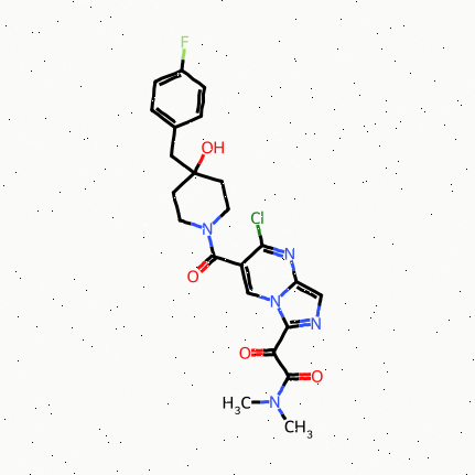 CN(C)C(=O)C(=O)c1ncc2nc(Cl)c(C(=O)N3CCC(O)(Cc4ccc(F)cc4)CC3)cn12